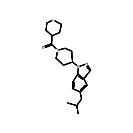 CC(C)Cc1ccc2c(cnn2C2CCN(C(=O)C3CCOCC3)CC2)c1